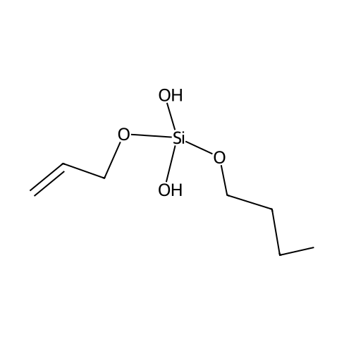 C=CCO[Si](O)(O)OCCCC